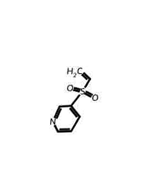 C=CS(=O)(=O)c1cccnc1